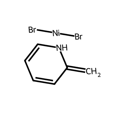 C=C1C=CC=CN1.[Br][Ni][Br]